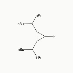 CCCCC(CCC)C1C(F)C1C(CCC)CCCC